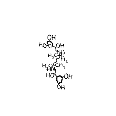 CC(C)(CCCCC(C)(C)NCC(O)c1cc(O)cc(O)c1)NCC(O)c1cc(O)cc(O)c1